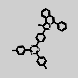 Cc1ccc(-c2nc(-c3ccc(C)cc3)nc(-c3ccc(-c4nn5c(-c6ccccc6)cc6ccccc6c5c4C)cc3)n2)cc1